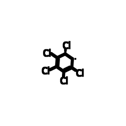 ClC1=C(Cl)C(Cl)=C(Cl)[C@@H](Cl)[CH]1